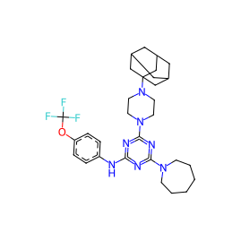 FC(F)(F)Oc1ccc(Nc2nc(N3CCCCCC3)nc(N3CCN(C45CC6CC(CC(C6)C4)C5)CC3)n2)cc1